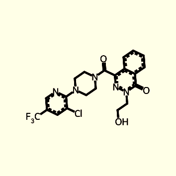 O=C(c1nn(CCO)c(=O)c2ccccc12)N1CCN(c2ncc(C(F)(F)F)cc2Cl)CC1